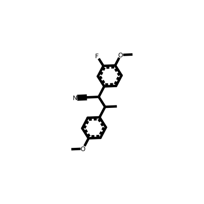 COc1ccc(C(C)C(C#N)c2ccc(OC)c(F)c2)cc1